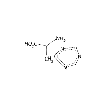 CC(N)C(=O)O.c1ncncn1